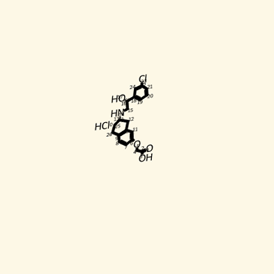 Cl.O=C(O)COc1ccc2c(c1)C[C@@H](NC[C@H](O)c1cccc(Cl)c1)CC2